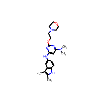 Cc1[nH]c2ccc(Nc3cc(N(C)C)nc(OCCN4CCOCC4)n3)cc2c1C